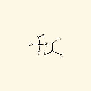 ClC(Cl)(Br)CBr.ClCC(Br)Br